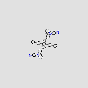 CN(C)c1ccc(N2c3ccc(-c4ccc5c(-c6ccc(-c7ccccc7)cc6)c6cc(-c7ccc8c(c7)C7(C)CCCCC7(C)N8c7ccc(N(C)C)cc7)ccc6c(-c6ccc(-c7ccccc7)cc6)c5c4)cc3C3(C)CCCCC23C)cc1